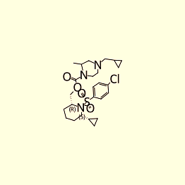 CC1CN(CC2CC2)CCN1C(=O)OC[C@H]1CCC[C@@H](C2CC2)N1S(=O)(=O)c1ccc(Cl)cc1